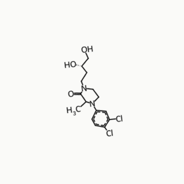 CC1C(=O)N(CC[C@H](O)CO)CCN1c1ccc(Cl)c(Cl)c1